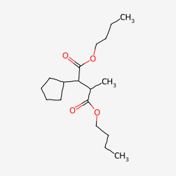 CCCCOC(=O)C(C)C(C(=O)OCCCC)C1CCCC1